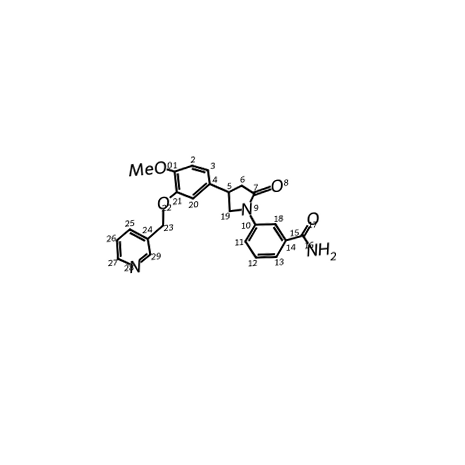 COc1ccc(C2CC(=O)N(c3cccc(C(N)=O)c3)C2)cc1OCc1cccnc1